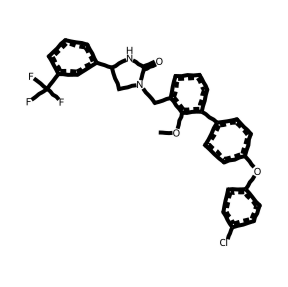 COc1c(CN2CC(c3cccc(C(F)(F)F)c3)NC2=O)cccc1-c1ccc(Oc2ccc(Cl)cc2)cc1